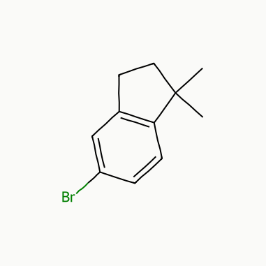 CC1(C)CCc2cc(Br)ccc21